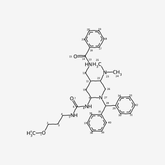 COCCCNC(=O)NC1CC(CNC(=O)c2ccccc2)C(N(C)C)CN1C(c1ccccc1)c1ccccc1